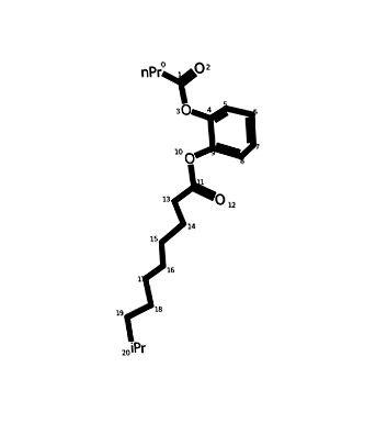 CCCC(=O)Oc1ccccc1OC(=O)CCCCCCCC(C)C